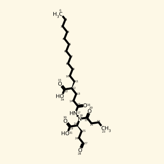 CCCCCCCCCCCC[C@@H](CCC(=O)NN(C(=O)CCC)[C@@H](CCC=O)C(=O)O)C(=O)O